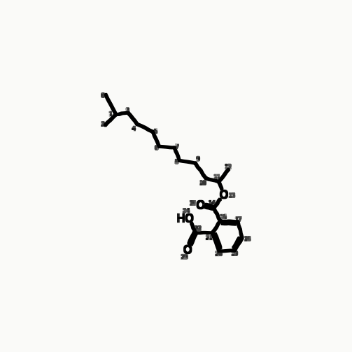 CC(C)CCCCCCCCC(C)OC(=O)c1ccccc1C(=O)O